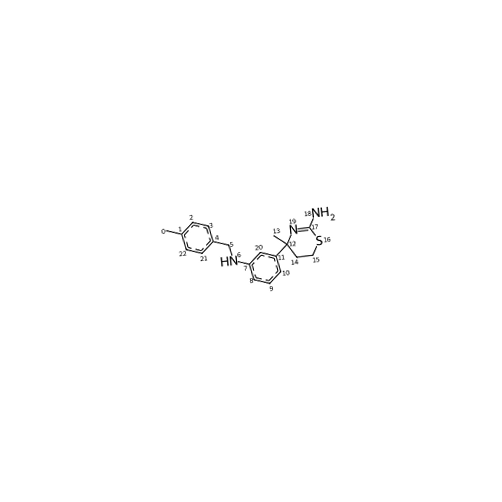 Cc1ccc(CNc2cccc(C3(C)CCSC(N)=N3)c2)cc1